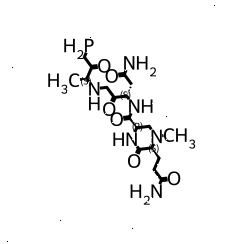 C[C@H](NCC(=O)[C@H](CC(N)=O)NC(=O)[C@H]1CN(C)[C@@H](CCC(N)=O)C(=O)N1)C(=O)CP